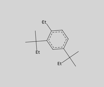 C[CH]c1ccc(C(C)(C)CC)cc1C(C)(C)CC